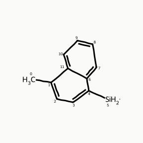 Cc1ccc([SiH2])c2ccccc12